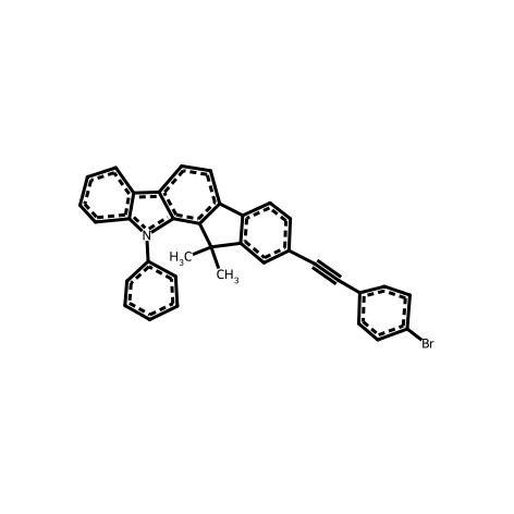 CC1(C)c2cc(C#Cc3ccc(Br)cc3)ccc2-c2ccc3c4ccccc4n(-c4ccccc4)c3c21